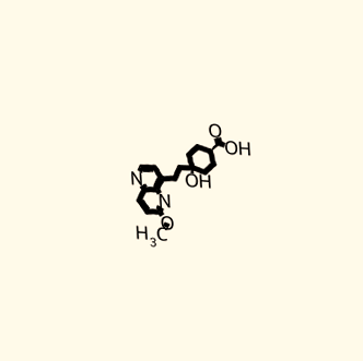 COc1ccc2nccc(CC[C@]3(O)CC[C@@H](C(=O)O)CC3)c2n1